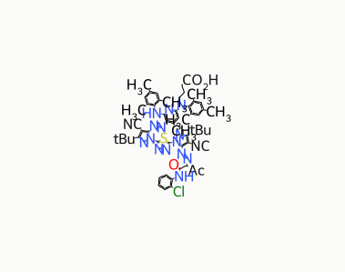 [C-]#[N+]c1c(C(C)(C)C)nn(-c2nnc(-n3nc(C(C)(C)C)c(C#N)c3N=Nc3c(C)cc(N(CCCC(=O)O)c4c(C)cc(C)cc4C)nc3Nc3c(C)cc(C)cc3C)s2)c1N=NC(C(C)=O)C(=O)Nc1ccccc1Cl